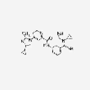 CC1=NC(C2CC2)CN1C1=CC(C(=O)NC2C=CC=C(C(=N)N(C=N)C3CC3)C2)=NCC1